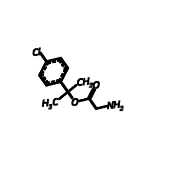 CC(C)(OC(=O)CN)c1ccc(Cl)cc1